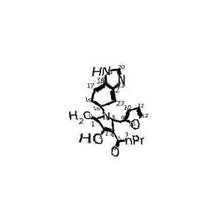 C=C1C(O)=C(C(=O)CCC)C(c2ccco2)N1c1ccc2[nH]cnc2c1